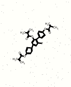 C=C(C)C(=O)Oc1ccc(-c2cc(F)c(-c3ccc(OC(=O)C(=C)C)cc3)c(OC(=O)C(=C)C)c2)cc1